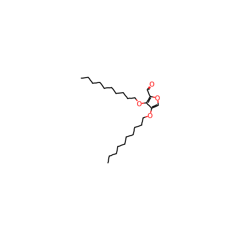 CCCCCCCCCCOc1coc(C=O)c1OCCCCCCCCCC